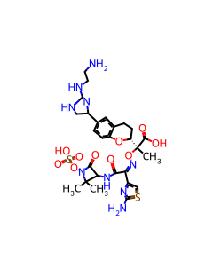 CC(O/N=C(\C(=O)NC1C(=O)N(OS(=O)(=O)O)C1(C)C)c1csc(N)n1)(C(=O)O)[C@H]1CCc2cc(C3CNC(NCCN)=N3)ccc2O1